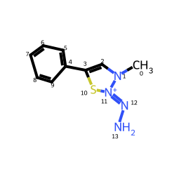 CN1C=C(c2ccccc2)S[N+]1=NN